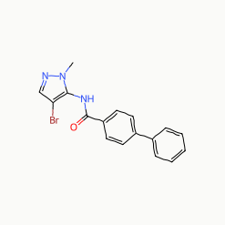 Cn1ncc(Br)c1NC(=O)c1ccc(-c2ccccc2)cc1